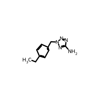 CCc1ccc(Cn2nnc(N)n2)cc1